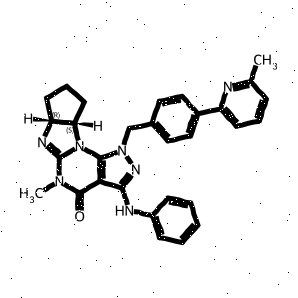 Cc1cccc(-c2ccc(Cn3nc(Nc4ccccc4)c4c3N3C(=N[C@@H]5CCC[C@@H]53)N(C)C4=O)cc2)n1